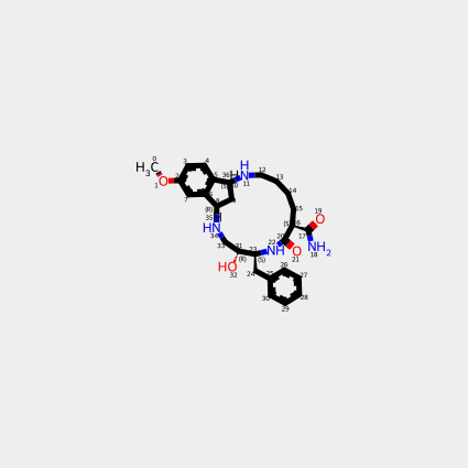 COc1ccc2c(c1)[C@H]1C[C@@H]2NCCCC[C@@H](C(N)=O)C(=O)N[C@@H](Cc2ccccc2)[C@H](O)CN1